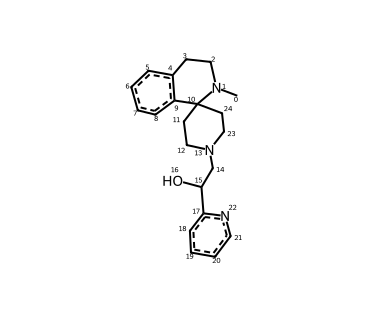 CN1CCc2ccccc2C12CCN(CC(O)c1ccccn1)CC2